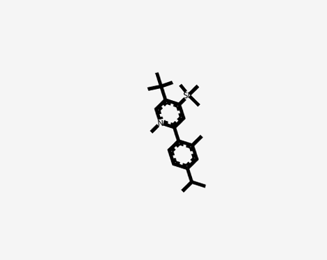 Cc1cc(C(C)C)ccc1-c1cc([Si](C)(C)C)c(C(C)(C)C)c[n+]1C